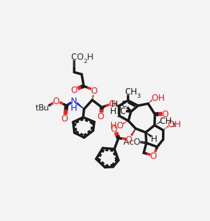 CC(=O)OC12COC1C[C@@H](O)[C@]1(C)C(=O)[C@@H](O)C3=C(C)[C@H](OC(=O)[C@@H](OC(=O)CCC(=O)O)[C@H](NC(=O)OC(C)(C)C)c4ccccc4)C[C@](O)([C@H](OC(=O)c4ccccc4)[C@@H]21)C3(C)C